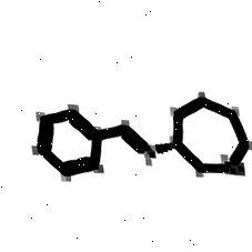 C(=N[C@@H]1CCCCNC1)c1ccccc1